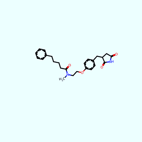 CN(CCOc1ccc(CC2CC(=O)NC2=O)cc1)C(=O)CCCCc1ccccc1